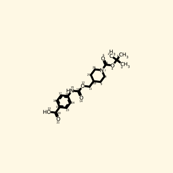 CC(C)(C)OC(=O)N1CCC(COC(=O)Nc2ccc(C(=O)O)cc2)CC1